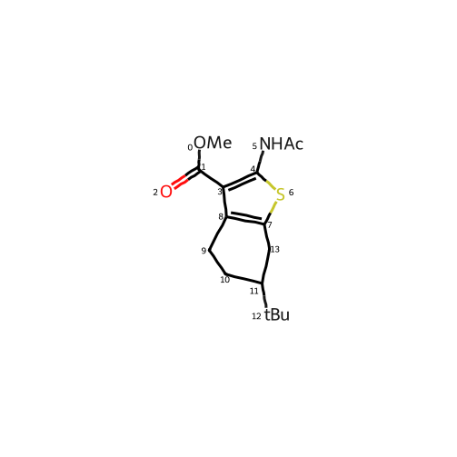 COC(=O)c1c(NC(C)=O)sc2c1CCC(C(C)(C)C)C2